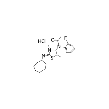 CC(=O)N(c1ccccc1F)C1C(C)SC(=NC2CCCCCC2)N1C.Cl